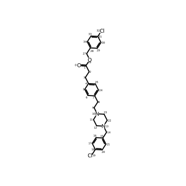 O=C(CCc1ccc(CCN2CCN(Cc3ccc(Cl)cc3)CC2)cc1)OCc1ccc(Cl)cc1